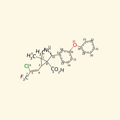 CC1(C)C(C=C(Cl)C(F)(F)F)C1(C(=O)O)[C@@H](C#N)c1cccc(Oc2ccccc2)c1